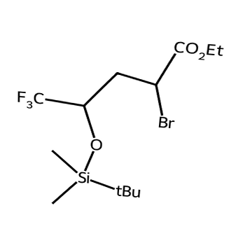 CCOC(=O)C(Br)CC(O[Si](C)(C)C(C)(C)C)C(F)(F)F